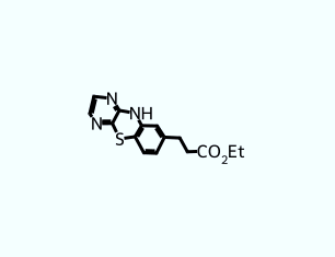 CCOC(=O)CCc1ccc2c(c1)Nc1nccnc1S2